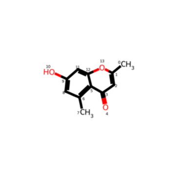 Cc1cc(=O)c2c(C)cc(O)cc2o1